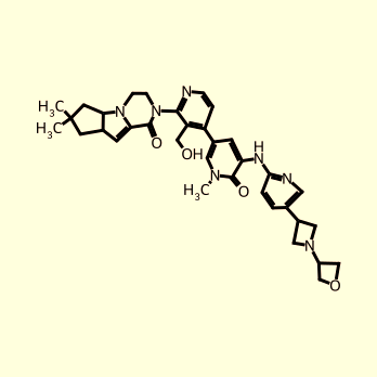 Cn1cc(-c2ccnc(N3CCN4C(=CC5CC(C)(C)CC54)C3=O)c2CO)cc(Nc2ccc(C3CN(C4COC4)C3)cn2)c1=O